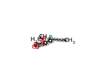 C=C(C)C(=O)Oc1cc(-c2ccc(CCCCCCCCC)c(F)c2)ccc1OCC1COC(=O)OC1